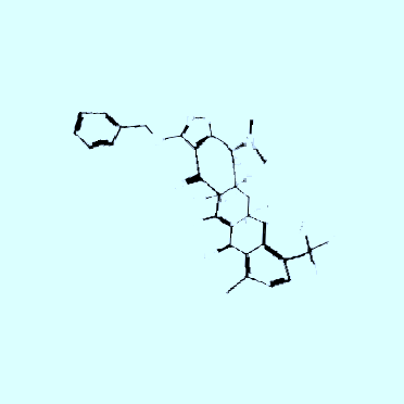 Cc1ccc(C(F)(F)F)c2c1C(=O)C1=C(O)[C@]3(O)C(=O)c4c(OCc5ccccc5)noc4[C@@H](N(C)C)[C@@H]3C[C@@H]1C2